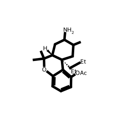 CCC(CC)[C@@]12CC(C)C(N)C[C@H]1C(C)(C)Oc1cccc(OC(C)=O)c12